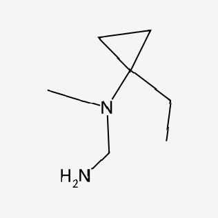 CCC1(N(C)CN)CC1